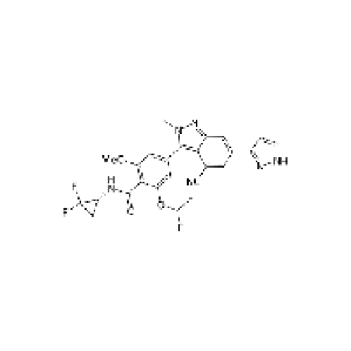 COc1cc(-c2c3c(C#N)cc(-c4cc[nH]n4)cc3nn2C)cc(OC(F)F)c1C(=O)N[C@@H]1CC1(F)F